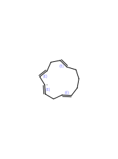 [C]1=C/C/C=C/CCC/C=C/C/C=C/1